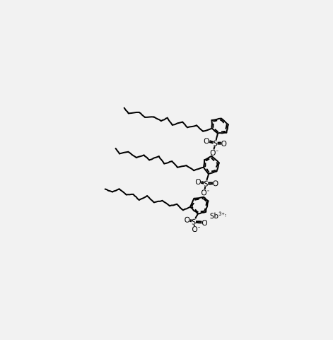 CCCCCCCCCCCCc1ccccc1S(=O)(=O)[O-].CCCCCCCCCCCCc1ccccc1S(=O)(=O)[O-].CCCCCCCCCCCCc1ccccc1S(=O)(=O)[O-].[Sb+3]